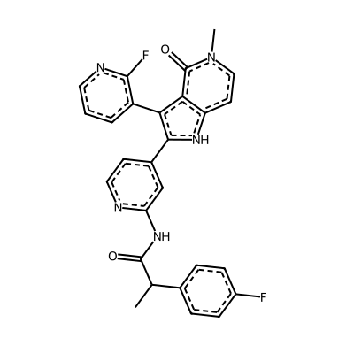 CC(C(=O)Nc1cc(-c2[nH]c3ccn(C)c(=O)c3c2-c2cccnc2F)ccn1)c1ccc(F)cc1